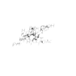 CC(=O)O[C@H]1CC[C@@]2(C)C(=C(C[N+](C)(CCO)CCO)C[C@H]3[C@@H]4CC[C@H]([C@H](C)CCCC(C)C)[C@@]4(C)CC[C@@H]32)C1.[Br-]